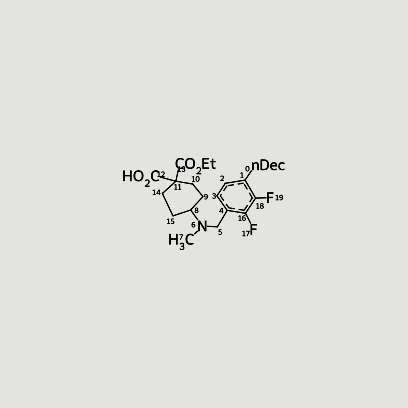 CCCCCCCCCCc1ccc(CN(C)C2CCC(C(=O)O)(C(=O)OCC)CC2)c(F)c1F